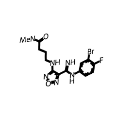 CNC(=O)CCCNc1nonc1C(=N)Nc1ccc(F)c(Br)c1